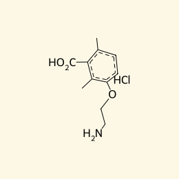 Cc1ccc(OCCN)c(C)c1C(=O)O.Cl